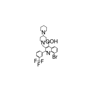 O=C(O)c1c(CN2CCC(N3CCCCC3)CC2)c(-c2cccc(C(F)(F)F)c2)nc2c(Br)cccc12